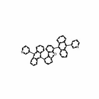 c1cncc(-c2c3ccccc3c(-c3cccc4c3oc3cccc(-c5c6ccccc6c(-c6cccnc6)c6ccccc56)c34)c3ccccc23)c1